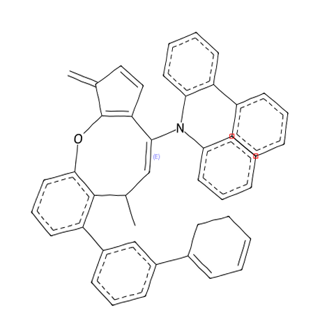 C=C1C=CC2=C1Oc1cccc(-c3cccc(C4=CC=CCC4)c3)c1C(C)/C=C\2N(c1ccccc1)c1ccccc1-c1ccccc1